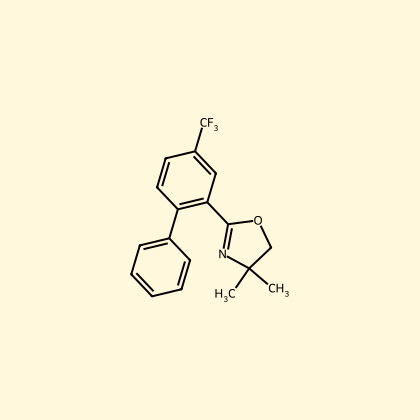 CC1(C)COC(c2cc(C(F)(F)F)ccc2-c2ccccc2)=N1